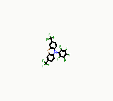 Fc1c(F)c(F)c(N2c3ccc(C(F)(F)F)cc3Sc3cc(C(F)(F)F)ccc32)c(F)c1F